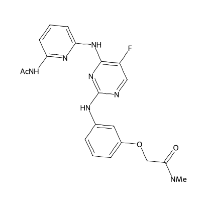 CNC(=O)COc1cccc(Nc2ncc(F)c(Nc3cccc(NC(C)=O)n3)n2)c1